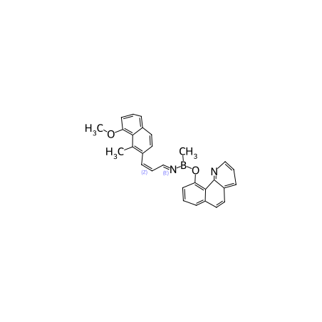 COc1cccc2ccc(/C=C\C=N\B(C)Oc3cccc4ccc5cccnc5c34)c(C)c12